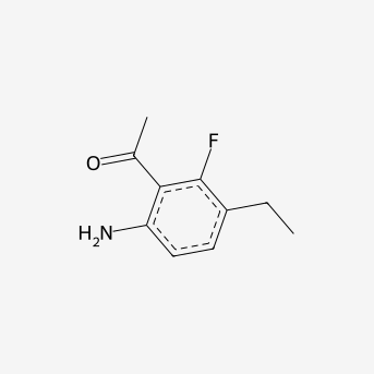 CCc1ccc(N)c(C(C)=O)c1F